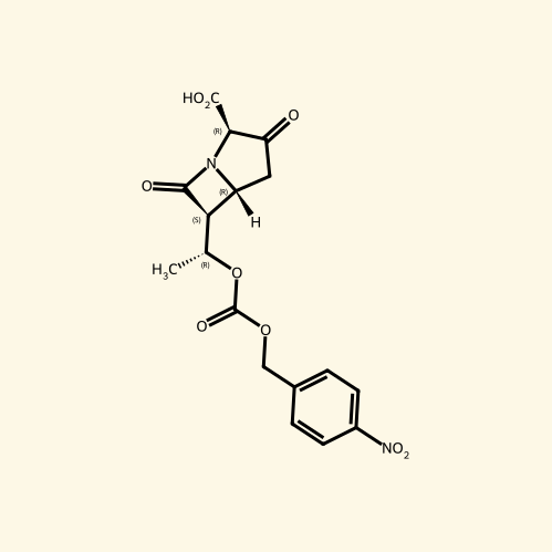 C[C@@H](OC(=O)OCc1ccc([N+](=O)[O-])cc1)[C@H]1C(=O)N2[C@@H](C(=O)O)C(=O)C[C@H]12